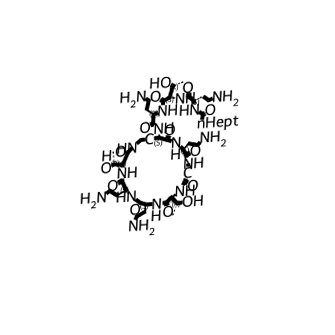 CCCCCCCC(=O)N[C@@H](CCN)C(=O)N[C@H](C(=O)N[C@H](CCN)C(=O)N[C@H]1CCNC(=O)[C@H]([C@@H](C)O)NC(=O)[C@H](CCN)NC(=O)[C@H](CCN)NC(=O)[C@H]([C@@H](C)O)NC(=O)CNC(=O)[C@H](CCN)NC1=O)[C@@H](C)O